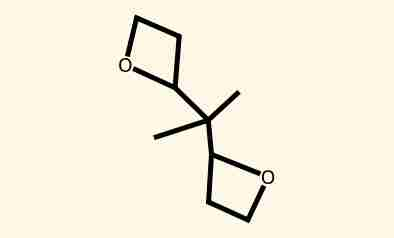 CC(C)(C1CCO1)C1CCO1